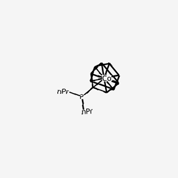 CCCP(CCC)[C]12[CH]3[CH]4[CH]5[CH]1[Co]45321678[CH]2[CH]1[CH]6[CH]7[CH]28